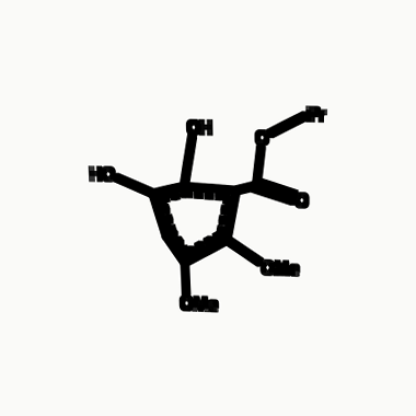 COc1cc(O)c(O)c(C(=O)OC(C)C)c1OC